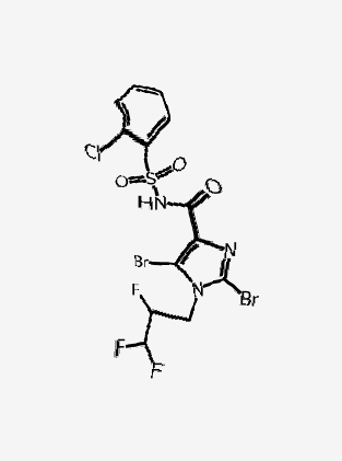 O=C(NS(=O)(=O)c1ccccc1Cl)c1nc(Br)n(CC(F)C(F)F)c1Br